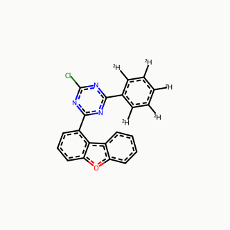 [2H]c1c([2H])c([2H])c(-c2nc(Cl)nc(-c3cccc4oc5ccccc5c34)n2)c([2H])c1[2H]